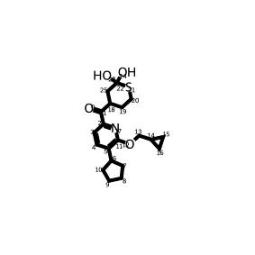 O=C(c1ccc(C2CCCC2)c(OCC2CC2)n1)C1CCSC(O)(O)C1